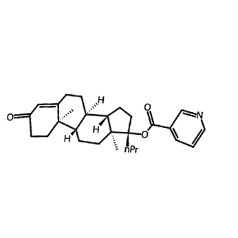 CCC[C@]1(OC(=O)c2cccnc2)CC[C@H]2[C@@H]3CCC4=CC(=O)CC[C@]4(C)[C@H]3CC[C@@]21C